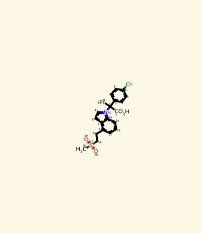 CC(C)C(C(=O)O)(c1ccc(Cl)cc1)n1ccc2c(CCS(C)(=O)=O)cccc21